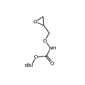 CC(C)(C)OC(=O)NOCC1CO1